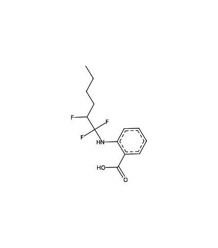 CCCCC(F)C(F)(F)Nc1ccccc1C(=O)O